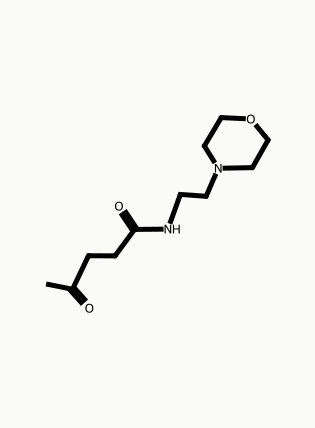 CC(=O)CCC(=O)NCCN1CCOCC1